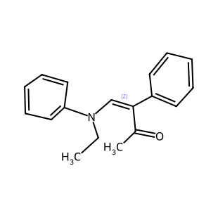 CCN(/C=C(\C(C)=O)c1ccccc1)c1ccccc1